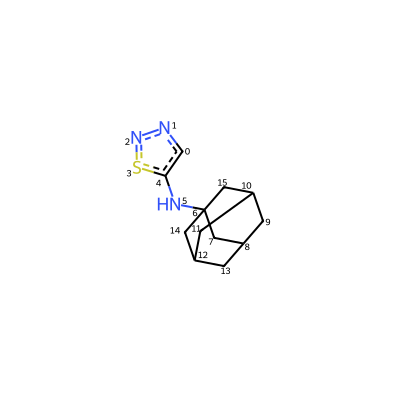 c1nnsc1NC12CC3CC(CC(C3)C1)C2